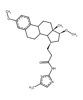 COc1ccc2c(c1)CCC1C2CC[C@@]2(C)C1[C@H](CCC(=O)Nc1ncc(C)s1)C[C@@H]2OC